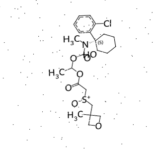 CC(OC(=O)C[S+]([O-])CC1(C)COC1)OC(=O)N(C)[C@]1(c2ccccc2Cl)CCCCC1O